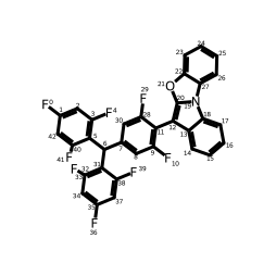 Fc1cc(F)c(C(c2cc(F)c(-c3c4ccccc4n4c3oc3ccccc34)c(F)c2)c2c(F)cc(F)cc2F)c(F)c1